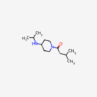 CC(C)CC(=O)N1CCC(NC(C)C)CC1